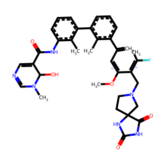 C=C(/C=C(OC)\C(CN1CCC2(C1)NC(=O)NC2=O)=C(/C)F)c1cccc(-c2cccc(NC(=O)C3=CN=CN(C)C3O)c2C)c1C